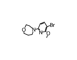 COc1nc(N2CCCOCC2)ccc1Br